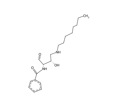 CCCCCCCCNC[C@H](O)[C@@H](C=O)NC(=O)c1ccccc1